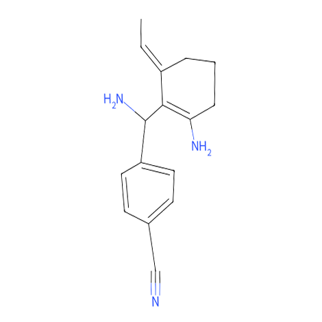 CC=C1CCCC(N)=C1C(N)c1ccc(C#N)cc1